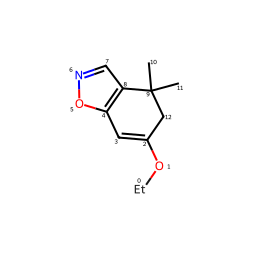 CCOC1=Cc2oncc2C(C)(C)C1